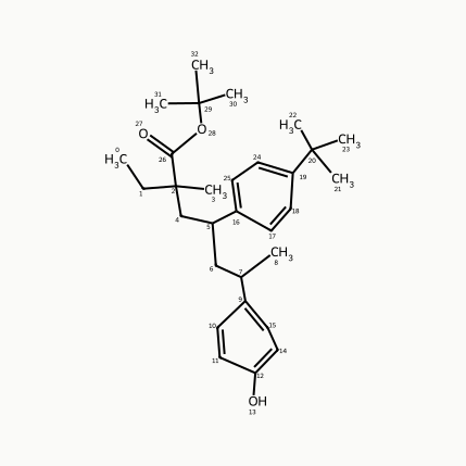 CCC(C)(CC(CC(C)c1ccc(O)cc1)c1ccc(C(C)(C)C)cc1)C(=O)OC(C)(C)C